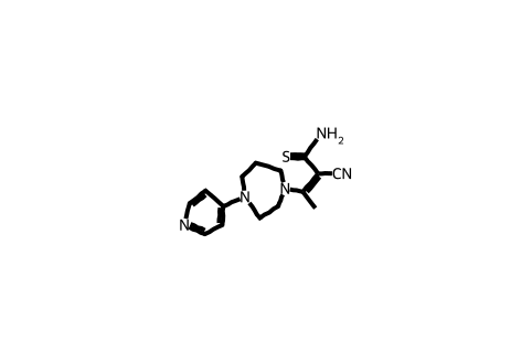 C/C(=C(\C#N)C(N)=S)N1CCCN(c2ccncc2)CC1